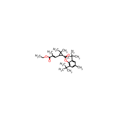 CCOC(=O)/C(C)=C/C1C(C(=O)Oc2c(C(C)(C)C)cc(C)cc2C(C)(C)C)C1(C)C